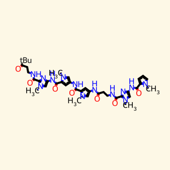 Cn1cc(NC(=O)CCNC(=O)c2nc(NC(=O)c3cccn3C)cn2C)cc1C(=O)Nc1cc(C(=O)Nc2cn(C)c(C(=O)NCCC(=O)C(C)(C)C)n2)n(C)c1